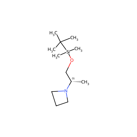 C[C@@H](CO[Si](C)(C)C(C)(C)C)N1CCC1